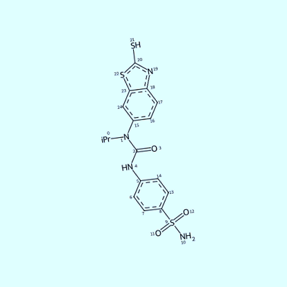 CC(C)N(C(=O)Nc1ccc(S(N)(=O)=O)cc1)c1ccc2nc(S)sc2c1